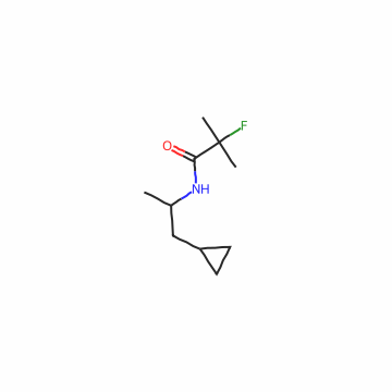 CC(CC1CC1)NC(=O)C(C)(C)F